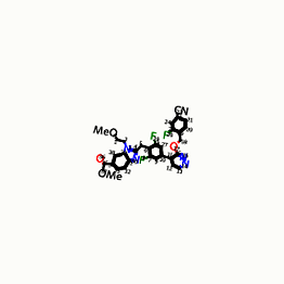 COCCn1c(Cc2c(F)cc(-c3ccnnc3OCc3ccc(C#N)cc3F)cc2F)nc2ccc(C(=O)OC)cc21